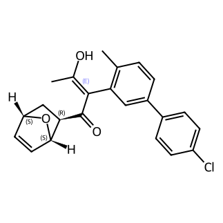 C/C(O)=C(\C(=O)[C@@H]1C[C@H]2C=C[C@@H]1O2)c1cc(-c2ccc(Cl)cc2)ccc1C